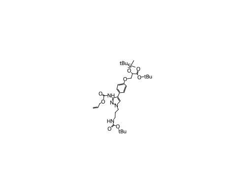 C=CCOC(=O)Nc1nn(CCCNC(=O)OC(C)(C)C)cc1-c1ccc(OCC(O[Si](C)(C)C(C)(C)C)C(=O)OC(C)(C)C)cc1